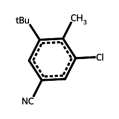 Cc1c(Cl)cc(C#N)cc1C(C)(C)C